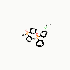 CCCCP(=O)(c1ccccc1)c1ccccc1.CCCCP(=O)(c1ccccc1)c1ccccc1.[Cl-].[Cl-].[Pd+2]